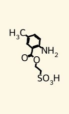 Cc1ccc(N)c(C(=O)OCCS(=O)(=O)O)c1